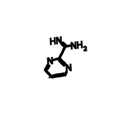 N=C(N)c1nc[c]cn1